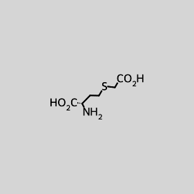 N[C@@H](CCSCC(=O)O)C(=O)O